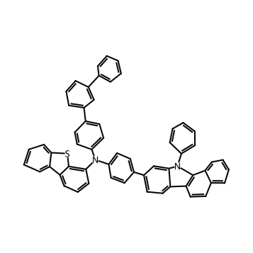 c1ccc(-c2cccc(-c3ccc(N(c4ccc(-c5ccc6c7ccc8ccccc8c7n(-c7ccccc7)c6c5)cc4)c4cccc5c4sc4ccccc45)cc3)c2)cc1